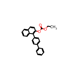 CCOC(=O)Oc1ccc2ccccc2c1-c1ccc(-c2ccccc2)cc1